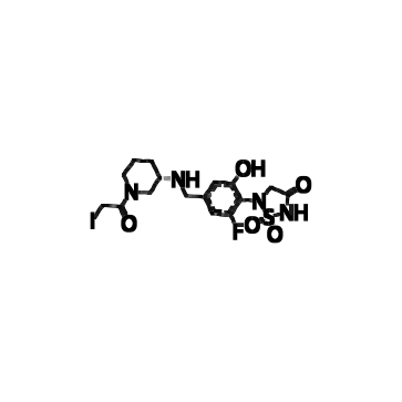 O=C1CN(c2c(O)cc(CN[C@H]3CCCN(C(=O)CI)C3)cc2F)S(=O)(=O)N1